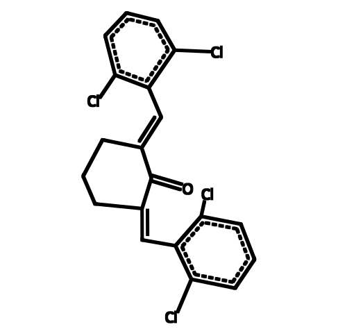 O=C1/C(=C\c2c(Cl)cccc2Cl)CCC/C1=C\c1c(Cl)cccc1Cl